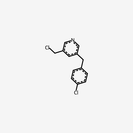 ClCc1cncc(Cc2ccc(Cl)cc2)c1